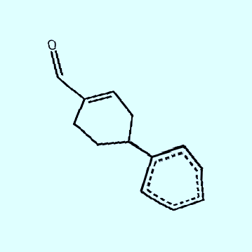 O=CC1=CCC(c2ccccc2)CC1